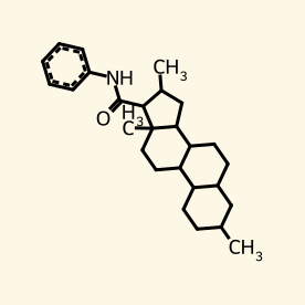 CC1CCC2C(CCC3C2CCC2(C)C3CC(C)C2C(=O)Nc2ccccc2)C1